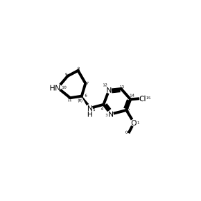 COc1nc(N[C@@H]2CCCNC2)ncc1Cl